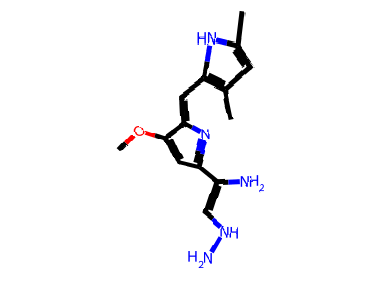 COC1=CC(C(/N)=C/NN)=N/C1=C\c1[nH]c(C)cc1C